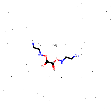 NCCNOC(=O)C(=O)ONCCN.[Ag]